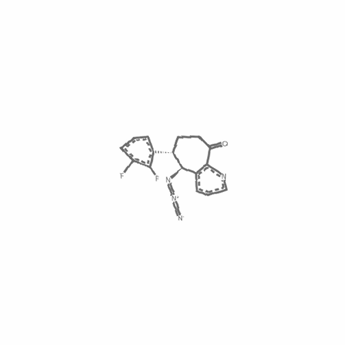 [N-]=[N+]=N[C@@H]1c2cccnc2C(=O)CC[C@H]1c1cccc(F)c1F